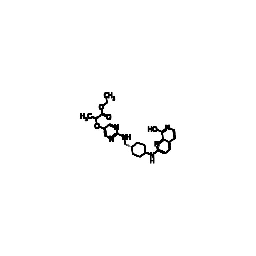 CCOC(=O)C(C)Oc1cnc(NC[C@H]2CC[C@H](Nc3ccc4ccnc(O)c4n3)CC2)nc1